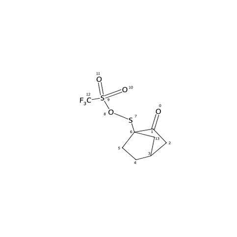 O=C1CC2CCC1(SOS(=O)(=O)C(F)(F)F)C2